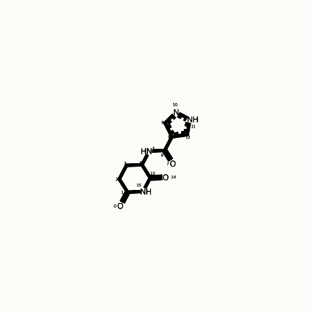 O=C1CCC(NC(=O)c2cn[nH]c2)C(=O)N1